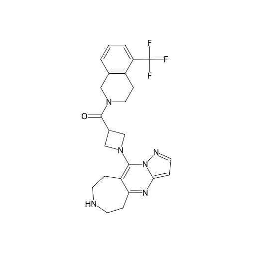 O=C(C1CN(c2c3c(nc4ccnn24)CCNCC3)C1)N1CCc2c(cccc2C(F)(F)F)C1